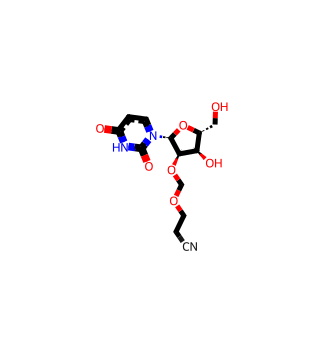 N#CCCOCO[C@@H]1[C@H](O)[C@@H](CO)O[C@H]1n1ccc(=O)[nH]c1=O